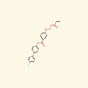 C=CC(=O)OCOc1ccc(C(=O)Oc2ccc(-c3ccc(F)cc3)cc2)cc1